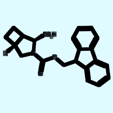 O=C(O)[C@@H]1C2CC[C@H]2CN1C(=O)OCC1c2ccccc2-c2ccccc21